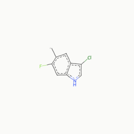 [CH2]c1cc2c(Cl)c[nH]c2cc1F